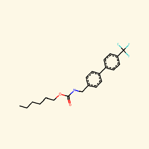 CCCCCCOC(=O)[N]Cc1ccc(-c2ccc(C(F)(F)F)cc2)cc1